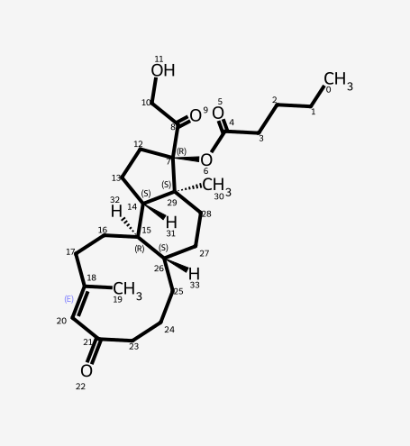 CCCCC(=O)O[C@]1(C(=O)CO)CC[C@H]2[C@@H]3CC/C(C)=C/C(=O)CCC[C@H]3CC[C@@]21C